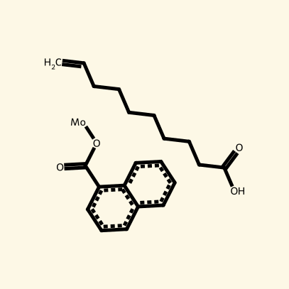 C=CCCCCCCCC(=O)O.O=C([O][Mo])c1cccc2ccccc12